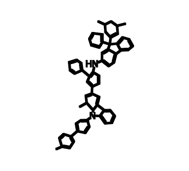 Cc1ccc(-c2ccc(N3c4ccccc4C4=CC(c5ccc(Nc6ccc7c(c6)C(C6=CC(C)CC(C)C6)(c6ccccc6)c6ccccc6-7)c(-c6ccccc6)c5)=CC(C)C43)cc2)cc1